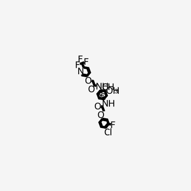 C[C@]1(O)CC2(NC(=O)COc3ccc(Cl)c(F)c3)CCC1(NC(=O)COc1ccc(C(F)(F)F)nc1)CC2